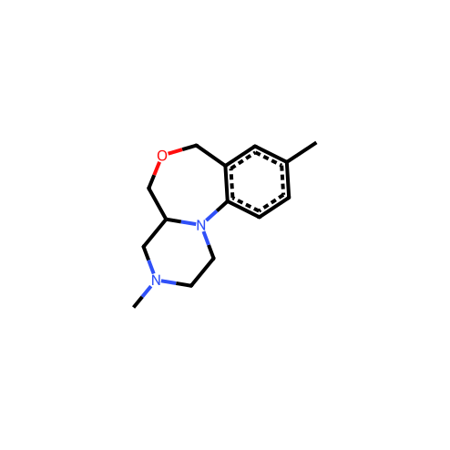 Cc1ccc2c(c1)COCC1CN(C)CCN21